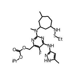 CCSNC1CCC(C)CC(N(C)c2nc(COC(=O)OC(C)C)c(F)c(Nc3cc(C)[nH]n3)n2)C1